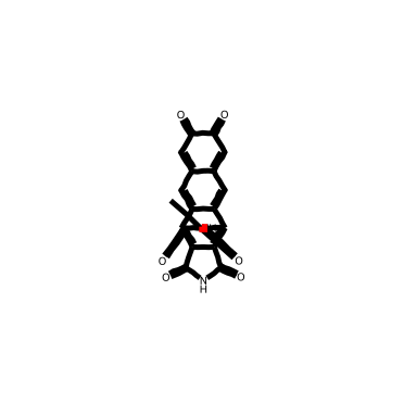 O=c1cc2cc3c(cc2cc1=O)c1c(=O)[nH]c(=O)c3c2c(=O)[nH]c(=O)c12